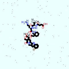 CC[C@@]1(OC(=O)CC2(CNC(=O)[C@H](CCCNN)NC(=O)[C@@H](NC(=O)CCC(=O)O)C(C)C)CCCCC2)C(=O)OCc2c1cc1n(c2=O)Cc2cc3c(Br)cccc3nc2-1